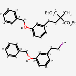 CCOC(=O)C(C)(CCc1cccc(OCc2ccccc2)c1)C(=O)OCC.ICCc1cccc(OCc2ccccc2)c1